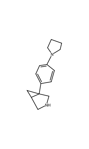 c1cc(C23CNCC2C3)ccc1N1CCCC1